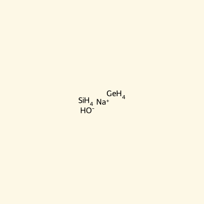 [GeH4].[Na+].[OH-].[SiH4]